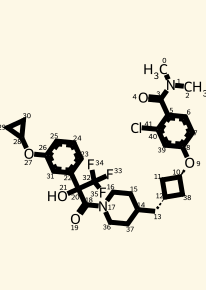 CN(C)C(=O)c1ccc(O[C@H]2C[C@@H](CC3CCN(C(=O)C(O)(c4cccc(OC5CC5)c4)C(F)(F)F)CC3)C2)cc1Cl